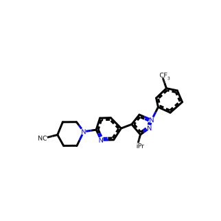 CC(C)c1nn(-c2cccc(C(F)(F)F)c2)cc1-c1ccc(N2CCC(C#N)CC2)nc1